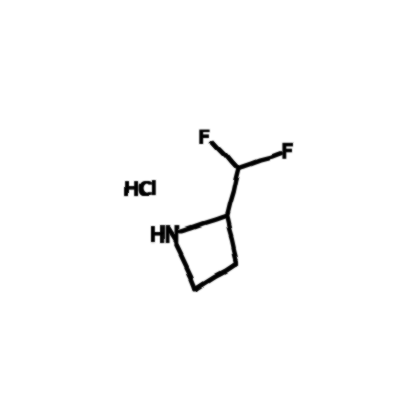 Cl.FC(F)C1CCN1